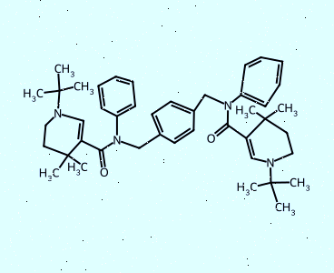 CC1(C)CCN(C(C)(C)C)C=C1C(=O)N(Cc1ccc(CN(C(=O)C2=CN(C(C)(C)C)CCC2(C)C)c2ccccc2)cc1)c1ccccc1